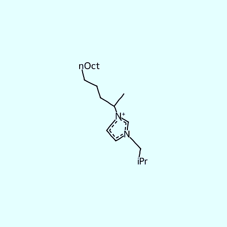 CCCCCCCCCCCC(C)[n+]1ccn(CC(C)C)c1